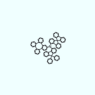 c1ccc(C2(c3ccccc3)c3ccccc3-c3c(N(c4ccc5c(c4)-c4ccccc4-c4ccccc4-c4ccccc4-5)c4cccc5c4-c4ccccc4C54c5ccccc5-c5ccccc54)cccc32)cc1